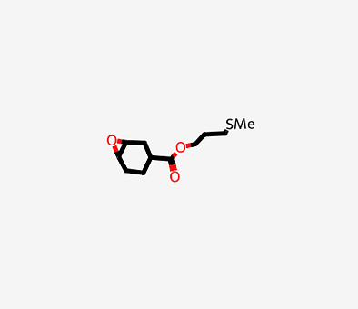 CSCCCOC(=O)C1CCC2OC2C1